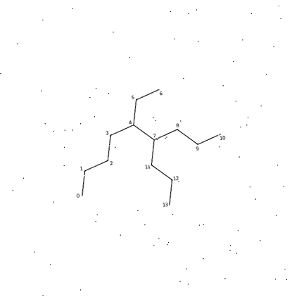 CCCCC(CC)[C](CCC)CCC